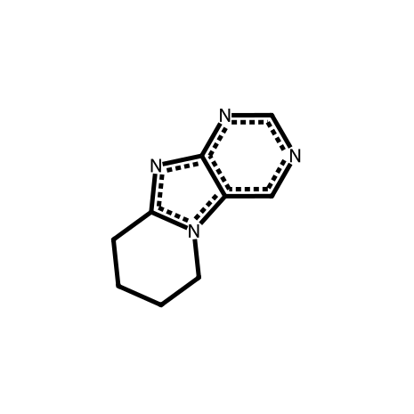 c1ncc2c(n1)nc1n2CCCC1